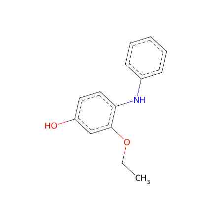 CCOc1cc(O)ccc1Nc1ccccc1